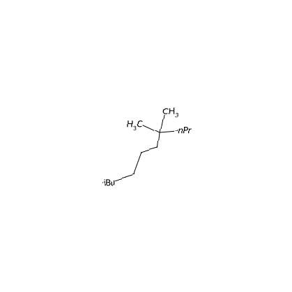 CCCC(C)(C)CCC[C](C)CC